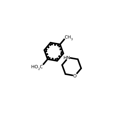 C1COCCN1.Cc1ccc(C(=O)O)cc1